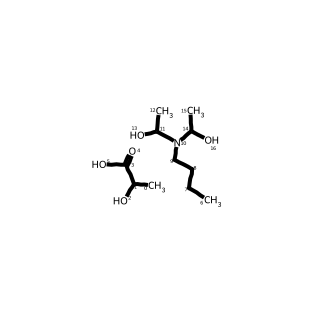 CC(O)C(=O)O.CCCCN(C(C)O)C(C)O